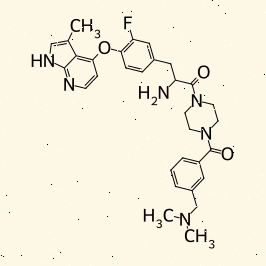 Cc1c[nH]c2nccc(Oc3ccc(CC(N)C(=O)N4CCN(C(=O)c5cccc(CN(C)C)c5)CC4)cc3F)c12